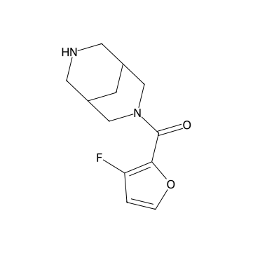 O=C(c1occc1F)N1CC2CNCC(C2)C1